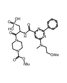 CCCCOC(=O)N1CCN(C(=O)C(CP(=O)(O)O)NC(=O)c2cc(N(C)CCOC)nc(-c3ccccc3)n2)CC1